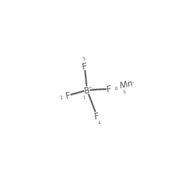 F[B-](F)(F)F.[Mn]